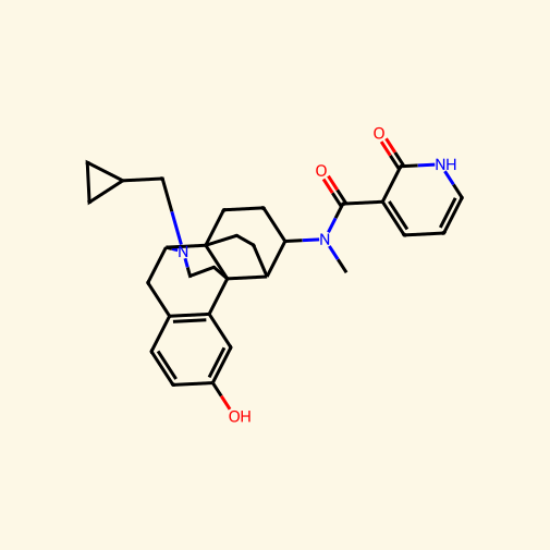 CN(C(=O)c1ccc[nH]c1=O)C1CCC23CCC1C21CCN(CC2CC2)C3Cc2ccc(O)cc21